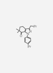 CC(C)Cc1nn(-c2ccc(C(C)C)cc2)c2c1CCC(C)(C)C2=O